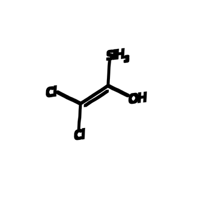 OC([SiH3])=C(Cl)Cl